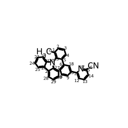 Cc1cccc(-c2cccc(-c3cccc(C#N)n3)c2)c1-n1c2ccccc2c2ccccc21